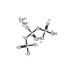 O=P([O-])([O-])OP(=O)([O-])OP(=O)(O)O.[Ca+2].[Na+]